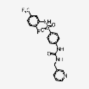 O=C(NCc1cccnc1)Nc1ccc(S(=O)(=O)Nc2cc(C(F)(F)F)ccc2F)cc1